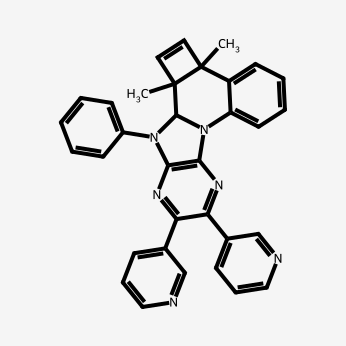 CC12C=CC1(C)C1N(c3ccccc3)c3nc(-c4cccnc4)c(-c4cccnc4)nc3N1c1ccccc12